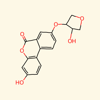 O=c1oc2cc(O)ccc2c2ccc(OC3COCC3O)cc12